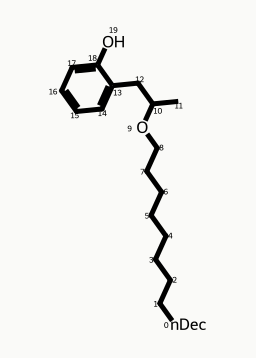 CCCCCCCCCCCCCCCCCCOC(C)Cc1ccccc1O